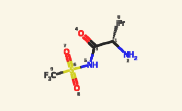 CC(C)[C@H](N)C(=O)NS(=O)(=O)C(F)(F)F